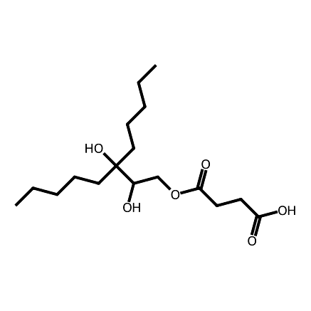 CCCCCC(O)(CCCCC)C(O)COC(=O)CCC(=O)O